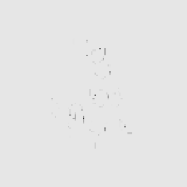 Cc1nc2cc(-c3nc(-c4cc5n(n4)[C@@H](C)CN[C@@H]5C)c(-c4c(F)cc(F)cc4CN(C)C)c4c(F)csc34)ccc2n1C